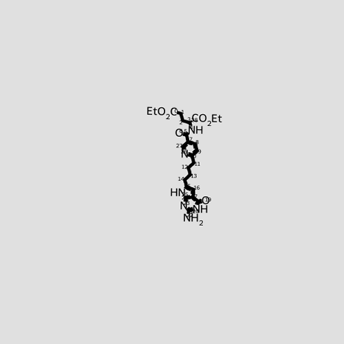 CCOC(=O)CC[C@H](NC(=O)c1ccc(CCCCc2cc3c(=O)[nH]c(N)nc3[nH]2)nc1)C(=O)OCC